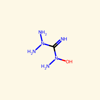 N=C(N(N)N)N(N)O